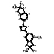 Cc1cc(-c2ccc(-c3ccc4c(c3)OC(C)(C)O4)s2)cc2c1OC(C)(C)O2